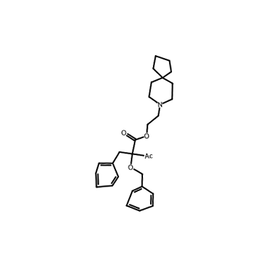 CC(=O)C(Cc1ccccc1)(OCc1ccccc1)C(=O)OCCN1CCC2(CCCC2)CC1